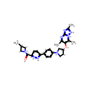 Cc1nc2nc(C)c(O[C@@H]3CCN(c4ccc(-c5ccc(C(=O)N6CC(C)C6)nn5)cc4)C3)c(C)n2n1